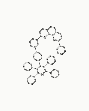 c1ccc(-c2ccc3ccc4ccc(-c5cccc(-c6ccc(-c7c(-c8ccccc8)c(-c8ccccc8)nc(-c8ccccc8)c7-c7ccccc7)cc6)c5)nc4c3n2)cc1